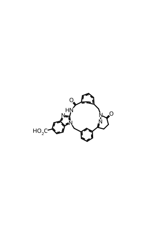 O=C(O)c1ccc2c(c1)nc1n2Cc2cccc(c2)C2=NN(Cc3cccc(c3)C(=O)N1)C(=O)CC2